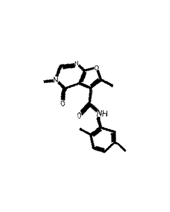 Cc1ccc(C)c(NC(=O)c2c(C)oc3ncn(C)c(=O)c23)c1